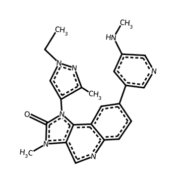 CCn1cc(-n2c(=O)n(C)c3cnc4ccc(-c5cncc(NC)c5)cc4c32)c(C)n1